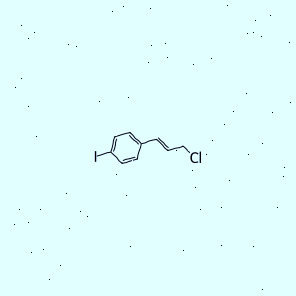 ClC/C=C/c1ccc(I)cc1